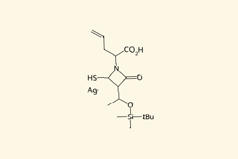 C=CCC(C(=O)O)N1C(=O)C(C(C)O[Si](C)(C)C(C)(C)C)C1S.[Ag]